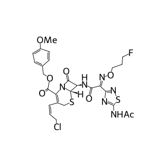 COc1ccc(COC(=O)C2=C(/C=C\CCl)CS[C@H]3[C@H](NC(=O)C(=NOCCCF)c4nsc(NC(C)=O)n4)C(=O)N23)cc1